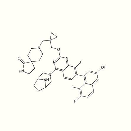 O=C1NCCC12CCN(CC1(COc3nc(N4CC5CCC(C4)N5)c4ccc(-c5cc(O)cc6ccc(F)c(F)c56)c(F)c4n3)CC1)CC2